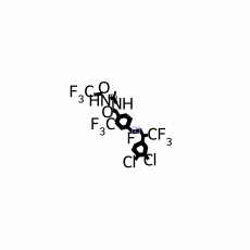 C[C@H](NC(=O)CC(F)(F)F)NC(=O)c1ccc(/C(F)=C/C(c2ccc(Cl)c(Cl)c2)C(F)(F)F)cc1C(F)(F)F